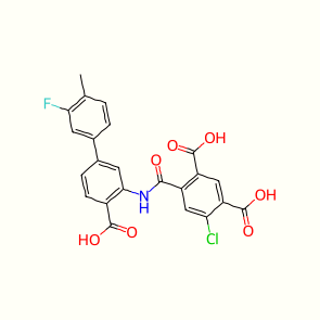 Cc1ccc(-c2ccc(C(=O)O)c(NC(=O)c3cc(Cl)c(C(=O)O)cc3C(=O)O)c2)cc1F